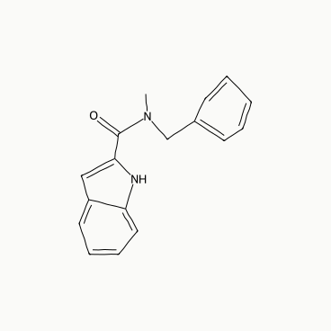 CN(Cc1ccccc1)C(=O)c1cc2ccccc2[nH]1